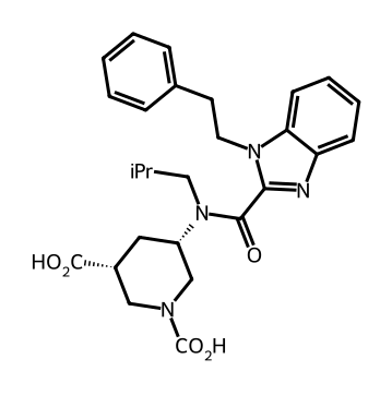 CC(C)CN(C(=O)c1nc2ccccc2n1CCc1ccccc1)[C@H]1C[C@@H](C(=O)O)CN(C(=O)O)C1